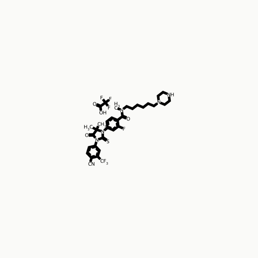 CN(CCCCCCN1CCNCC1)C(=O)c1ccc(N2C(=S)N(c3ccc(C#N)c(C(F)(F)F)c3)C(=O)C2(C)C)cc1F.O=C(O)C(F)(F)F